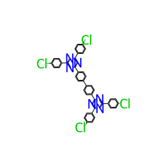 Clc1ccc(-c2nc(-c3ccc(Cl)cc3)nc(-c3ccc(-c4ccc(-c5nc(-c6ccc(Cl)cc6)nc(-c6ccc(Cl)cc6)n5)cc4)cc3)n2)cc1